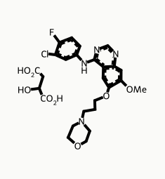 COc1cc2ncnc(Nc3ccc(F)c(Cl)c3)c2cc1OCCCN1CCOCC1.O=C(O)CC(O)C(=O)O